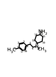 Cc1ccc(CCN(C)C2CCC(N)CC2)cc1